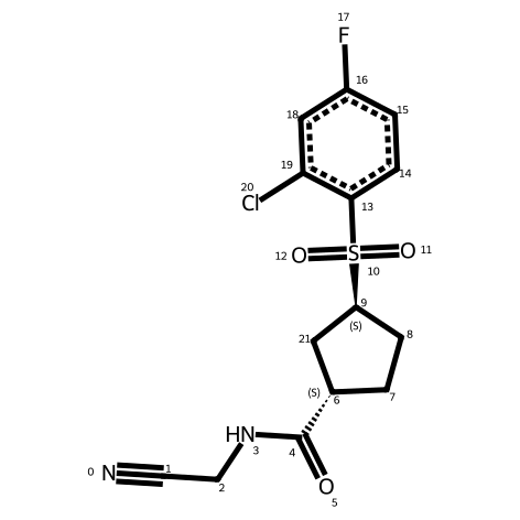 N#CCNC(=O)[C@H]1CC[C@H](S(=O)(=O)c2ccc(F)cc2Cl)C1